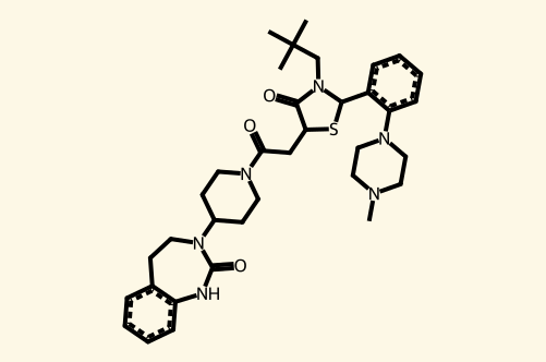 CN1CCN(c2ccccc2C2SC(CC(=O)N3CCC(N4CCc5ccccc5NC4=O)CC3)C(=O)N2CC(C)(C)C)CC1